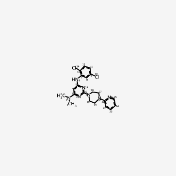 CN(C)c1cc(Nc2cc(Cl)ccc2Cl)nc(N2CCN(c3ccccn3)CC2)n1